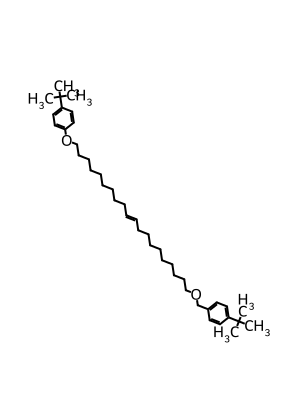 CC(C)(C)c1ccc(COCCCCCCCCCC=CCCCCCCCCCOc2ccc(C(C)(C)C)cc2)cc1